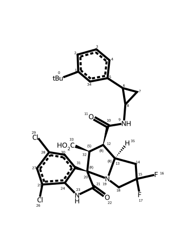 CC(C)(C)c1cccc(C2CC2NC(=O)[C@H]2[C@H]3CC(F)(F)CN3[C@]3(C(=O)Nc4c(Cl)cc(Cl)cc43)[C@H]2C(=O)O)c1